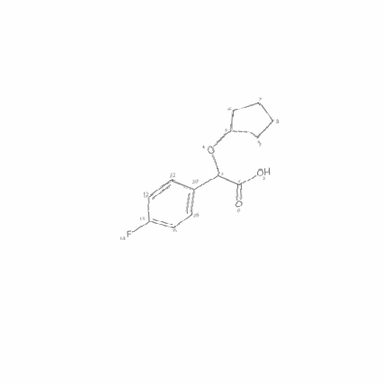 O=C(O)C(OC1CCCC1)c1ccc(F)cc1